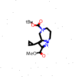 COC(=O)c1nn2c(c1C1CC1)CN(C(=O)OC(C)(C)C)CCC2